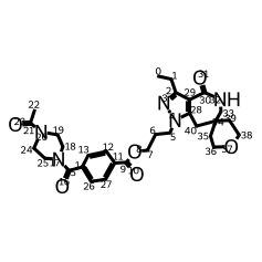 CCc1nn(CCCOC(=O)c2ccc(C(=O)N3CCN(C(C)=O)CC3)cc2)c2c1C(=O)NCC1(CCOCC1)C2